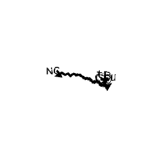 CC(C)(C)OC(=O)C1(CCCCCCCCCCCCC2(C#N)CC2)CC1